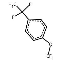 CC(F)(F)c1ccc(OC(F)(F)F)cc1